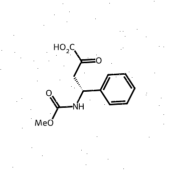 COC(=O)N[C@H](CC(=O)C(=O)O)c1ccccc1